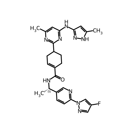 Cc1cc(Nc2cc(C)[nH]n2)nc(C2CC=C(C(=O)N[C@@H](C)c3ccc(-n4cc(F)cn4)nc3)CC2)n1